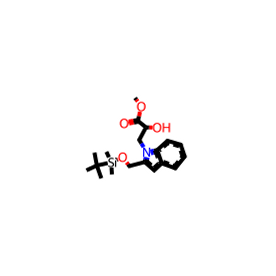 COC(=O)C(O)Cn1c(CO[Si](C)(C)C(C)(C)C)cc2ccccc21